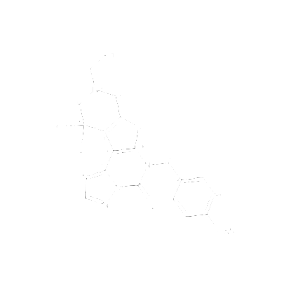 COc1ccc(Cn2c(=O)n3ncnc3c3c4c(sc32)CN(CC(C)C)CC4(F)F)cc1